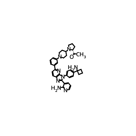 CC(=O)[C@H]1CCCN1C1CCN(c2cccc(-c3ccc4nc(-c5cccnc5N)n(-c5ccc(C6(N)CCC6)cc5)c4n3)c2)CC1